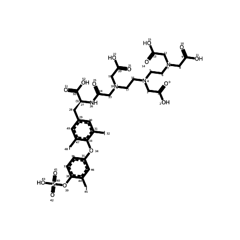 O=C(O)CN(CCN(CC(=O)O)CC(=O)O)CCN(CC(=O)O)CC(=O)N[C@@H](Cc1cc(I)c(Oc2ccc(OS(=O)(=O)O)c(I)c2)c(I)c1)C(=O)O